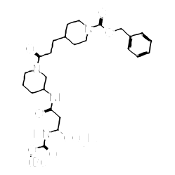 CCOC(=O)[C@H](CC(=O)NC1CCCN(C(=O)CCC2CCN(C(=O)OCc3ccccc3)CC2)C1)NC(=O)OC(C)(C)C